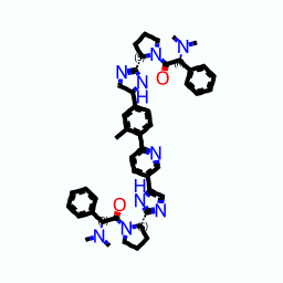 Cc1cc(C2CN=C([C@@H]3CCCN3C(=O)[C@@H](c3ccccc3)N(C)C)N2)ccc1-c1ccc(-c2cnc([C@@H]3CCCN3C(=O)[C@@H](c3ccccc3)N(C)C)[nH]2)cn1